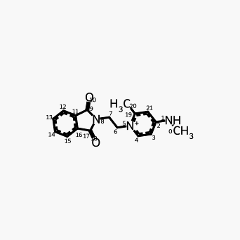 CNc1cc[n+](CCN2C(=O)c3ccccc3C2=O)c(C)c1